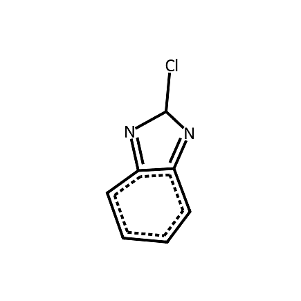 ClC1N=c2ccccc2=N1